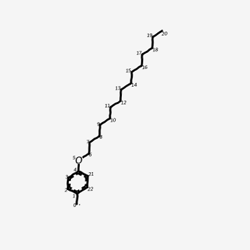 [CH2]c1ccc(OCCCCCCCCCCCCCCC)cc1